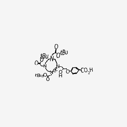 CC(C)(C)OC(=O)CN1CCN(CC(=O)OC(C)(C)C)CCN(CC(O)COc2ccc(C(=O)O)cc2)CCN(CC(=O)OC(C)(C)C)CC1